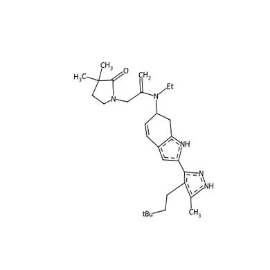 C=C(CN1CCC(C)(C)C1=O)N(CC)C1C=Cc2cc(-c3n[nH]c(C)c3CCC(C)(C)C)[nH]c2C1